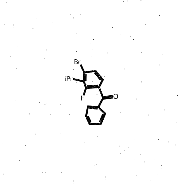 CC(C)c1c(Br)ccc(C(=O)c2ccccc2)c1F